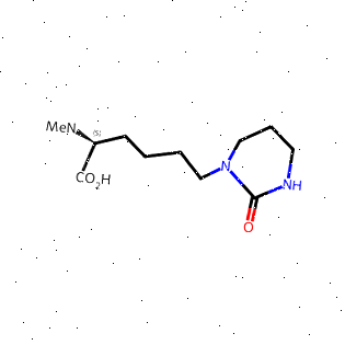 CN[C@@H](CCCCN1CCCNC1=O)C(=O)O